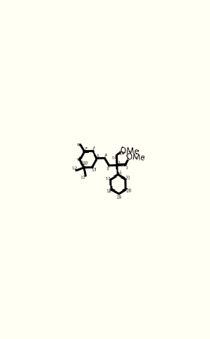 COCC(CCC1CC(C)CC(C)(C)C1)(COC)C1CCCCC1